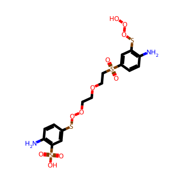 Nc1ccc(S(=O)(=O)CCOCCOOSc2ccc(N)c(S(=O)(=O)O)c2)cc1SOOO